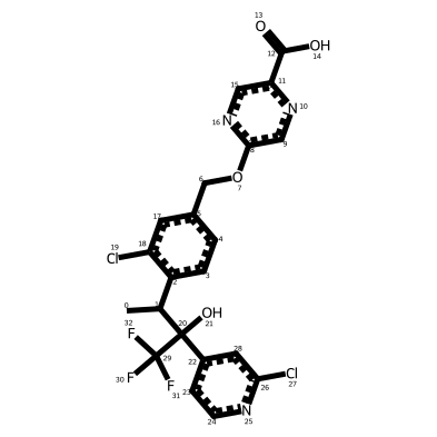 CC(c1ccc(COc2cnc(C(=O)O)cn2)cc1Cl)C(O)(c1ccnc(Cl)c1)C(F)(F)F